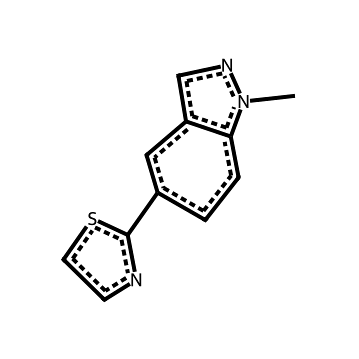 Cn1ncc2cc(-c3nccs3)ccc21